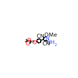 [C-]#[N+]c1c(OC)nc(N)c(C#N)c1-c1ccc(OC[C@@H]2COC(C)(C)O2)cc1